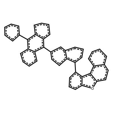 c1ccc(-c2c3ccccc3c(-c3ccc4c(-c5cccc6oc7ccc8ccccc8c7c56)cccc4c3)c3ccccc23)cc1